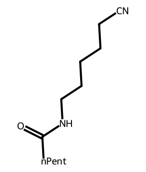 CCCCCC(=O)NCCCCCC#N